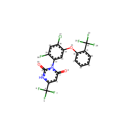 O=c1cc(C(F)(F)F)[nH]c(=O)n1-c1cc(Oc2ccccc2C(F)(F)F)c(Cl)cc1F